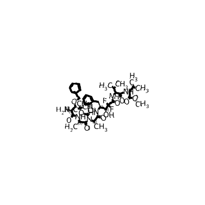 COC(=O)C(NC(=O)C(NC(=O)C(F)(F)[C@H](O)[C@H](Cc1ccccc1)NC(=O)[C@H](C)N(C(=O)OC(C)(C)C)C(=O)[C@H](C)NC(=O)[C@@H](N)COCc1ccccc1)C(C)C)C(C)C